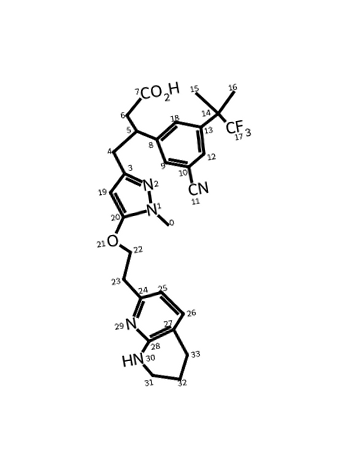 Cn1nc(CC(CC(=O)O)c2cc(C#N)cc(C(C)(C)C(F)(F)F)c2)cc1OCCc1ccc2c(n1)NCCC2